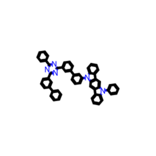 c1ccc(-c2cccc(-c3nc(-c4ccccc4)nc(-c4cccc(-c5cccc(-n6c7ccccc7c7cc8c(cc76)c6ccccc6n8-c6ccccc6)c5)c4)n3)c2)cc1